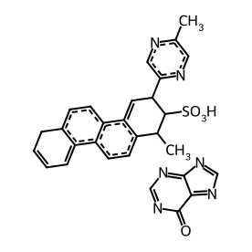 Cc1cnc(C2C=c3c(ccc4c5c(ccc34)CC=CC=5)C(C)C2S(=O)(=O)O)cn1.O=C1N=CN=C2N=CN=C12